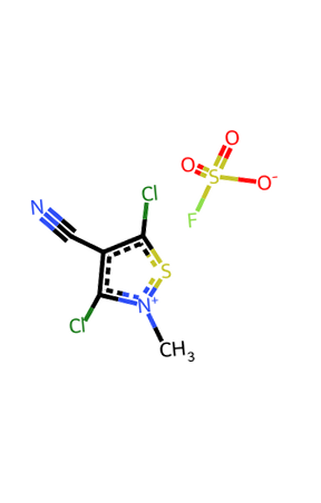 C[n+]1sc(Cl)c(C#N)c1Cl.O=S(=O)([O-])F